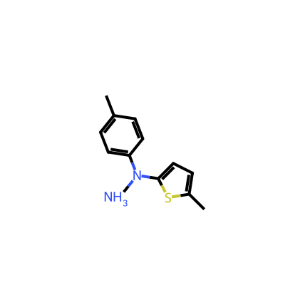 Cc1ccc(N(C)c2ccc(C)s2)cc1.N